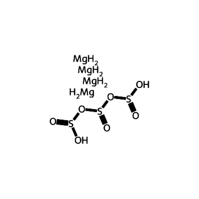 O=S(O)OS(=O)OS(=O)O.[MgH2].[MgH2].[MgH2].[MgH2]